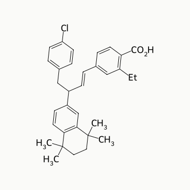 CCc1cc(C=CC(Cc2ccc(Cl)cc2)c2ccc3c(c2)C(C)(C)CCC3(C)C)ccc1C(=O)O